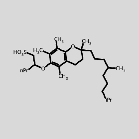 CCCC(CS(=O)(=O)O)Oc1c(C)c(C)c2c(c1C)CCC(C)(CCCC(C)CCCC(C)C)O2